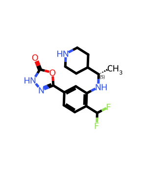 C[C@H](Nc1cc(-c2n[nH]c(=O)o2)ccc1C(F)F)C1CCNCC1